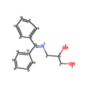 OCC(O)CN=C(c1ccccc1)c1ccccc1